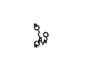 NCc1ccccc1.c1cc(CCC2CC2c2ccncc2)ccn1